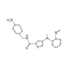 C=Nc1ccccc1N(C)c1csc(C(=O)NCc2ccc(N)cc2)c1